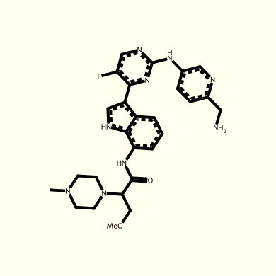 COCC(C(=O)Nc1cccc2c(-c3nc(Nc4ccc(CN)nc4)ncc3F)c[nH]c12)N1CCN(C)CC1